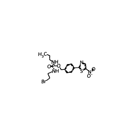 CCCNP(=O)(NCCBr)OCc1ccc(-c2ncc([N+](=O)[O-])s2)cc1